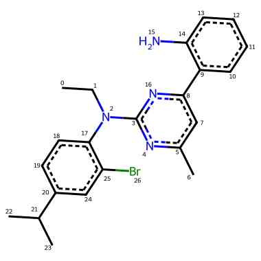 CCN(c1nc(C)cc(-c2ccccc2N)n1)c1ccc(C(C)C)cc1Br